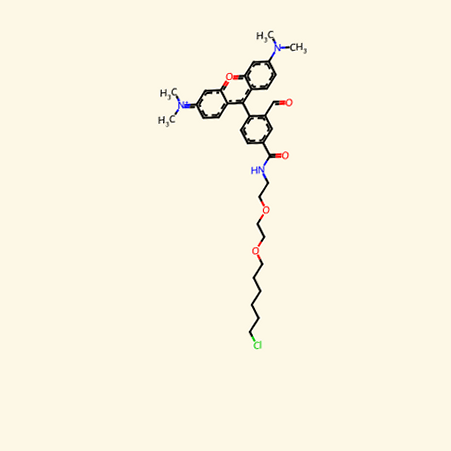 CN(C)c1ccc2c(-c3ccc(C(=O)NCCOCCOCCCCCCCl)cc3C=O)c3ccc(=[N+](C)C)cc-3oc2c1